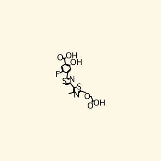 Cc1nc(COCC(=O)O)sc1-c1csc(-c2cc(O)c(C(=O)O)cc2F)n1